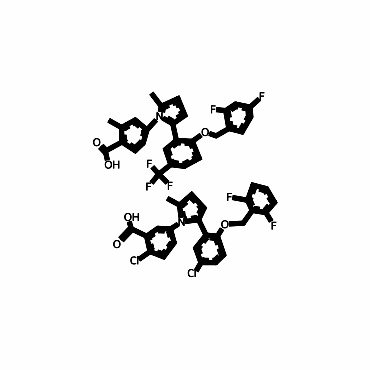 Cc1cc(-n2c(C)ccc2-c2cc(C(F)(F)F)ccc2OCc2ccc(F)cc2F)ccc1C(=O)O.Cc1ccc(-c2cc(Cl)ccc2OCc2c(F)cccc2F)n1-c1ccc(Cl)c(C(=O)O)c1